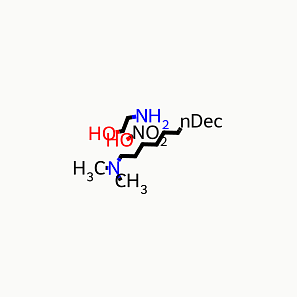 CCCCCCCCCCCCCCCCN(C)C.NCCO.O=[N+]([O-])O